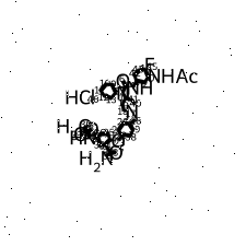 CC(=O)Nc1cc(NC(=O)N(c2ccccc2)C2CCN(Cc3ccc(Oc4ccc(NS(C)(=O)=O)cc4C(N)=O)cc3)CC2)ccc1F.Cl